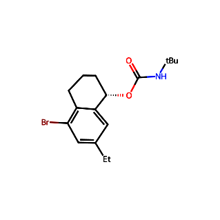 CCc1cc(Br)c2c(c1)[C@@H](OC(=O)NC(C)(C)C)CCC2